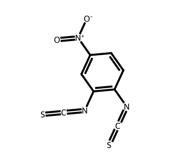 O=[N+]([O-])c1ccc(N=C=S)c(N=C=S)c1